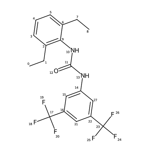 CCc1cccc(CC)c1NC(=O)Nc1cc(C(F)(F)F)cc(C(F)(F)F)c1